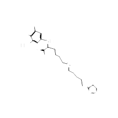 O=C(O)C(CCCCNCCCCC[C@@H]1CCSS1)Nc1cc(O)c(O)c(O)c1